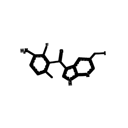 Cc1ccc(N)c(F)c1C(=O)c1c[nH]c2ncc(CI)cc12